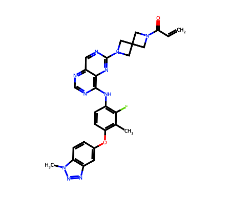 C=CC(=O)N1CC2(C1)CN(c1ncc3ncnc(Nc4ccc(Oc5ccc6c(c5)nnn6C)c(C)c4F)c3n1)C2